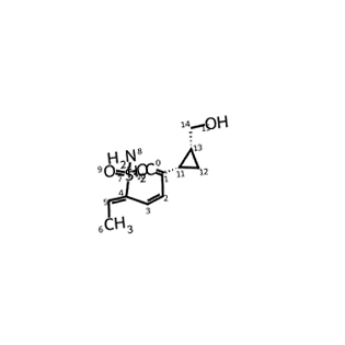 C=C(/C=C\C(=C/C)S(N)(=O)=O)[C@H]1C[C@H]1CO